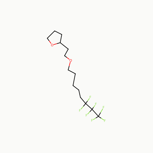 FC(F)(F)C(F)(F)C(F)(F)CCCCCOCCC1CCCO1